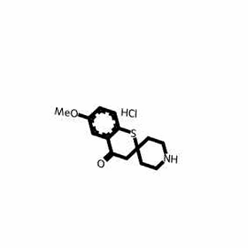 COc1ccc2c(c1)C(=O)CC1(CCNCC1)S2.Cl